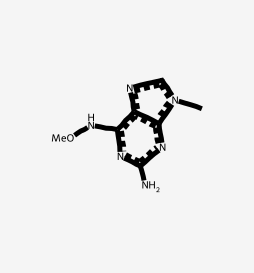 CONc1nc(N)nc2c1ncn2C